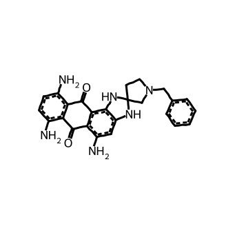 Nc1ccc(N)c2c1C(=O)c1c(N)cc3c(c1C2=O)NC1(CCN(Cc2ccccc2)C1)N3